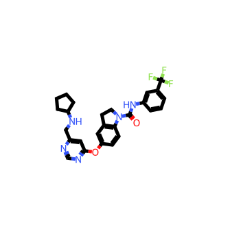 O=C(Nc1cccc(C(F)(F)F)c1)N1CCc2cc(Oc3cc(CNC4CCCC4)ncn3)ccc21